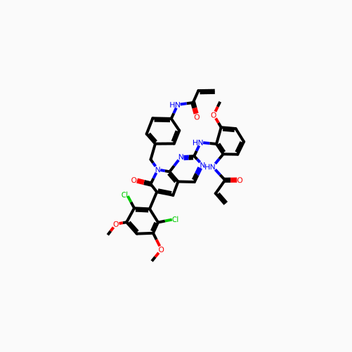 C=CC(=O)Nc1ccc(Cn2c(=O)c(-c3c(Cl)c(OC)cc(OC)c3Cl)cc3cnc(Nc4c(NC(=O)C=C)cccc4OC)nc32)cc1